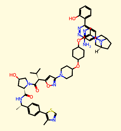 Cc1ncsc1-c1ccc([C@H](C)NC(=O)[C@@H]2C[C@@H](O)CN2C(=O)[C@@H](c2cc(N3CCC(OC4CCC(Oc5cc(N6C7CC[C@H]6CN(c6cc(-c8ccccc8O)nnc6N)C7)ccn5)CC4)CC3)no2)C(C)C)cc1